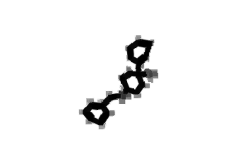 OC1(c2ccccc2)CCC(NCc2ccccc2)CC1